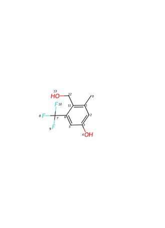 Cc1cc(O)cc(C(F)(F)F)c1CO